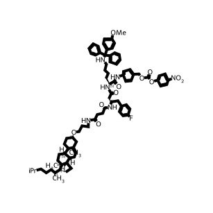 COc1ccc(C(NCCCC[C@H](NC(=O)C[C@H](Cc2ccc(F)cc2)NC(=O)CCC(=O)NCCCO[C@H]2CC[C@@]3(C)C(=CC[C@H]4[C@@H]5CC[C@H]([C@H](C)CCCC(C)C)[C@@]5(C)CC[C@@H]43)C2)C(=O)Nc2ccc(COC(=O)Oc3ccc([N+](=O)[O-])cc3)cc2)(c2ccccc2)c2ccccc2)cc1